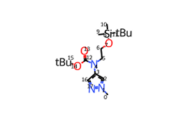 Cn1cc(N(CCO[Si](C)(C)C(C)(C)C)C(=O)OC(C)(C)C)cn1